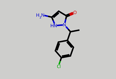 CC(c1ccc(Cl)cc1)n1[nH]c(N)cc1=O